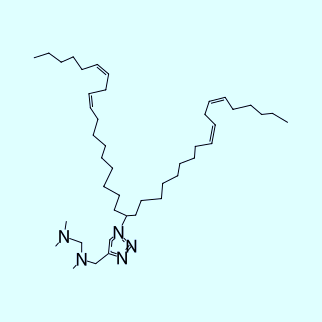 CCCCC/C=C\C/C=C\CCCCCCCCC(CCCCCCCC/C=C\C/C=C\CCCCC)n1cc(CN(C)CN(C)C)nn1